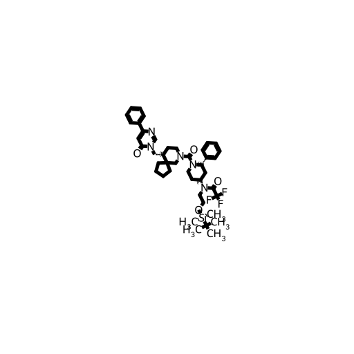 CC(C)(C)[Si](C)(C)OCCN(C(=O)C(F)(F)F)[C@@H]1CCN(C(=O)N2CC[C@@H](Cn3cnc(-c4ccccc4)cc3=O)C3(CCCC3)C2)[C@H](c2ccccc2)C1